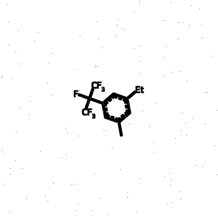 CCc1cc(C)cc(C(F)(C(F)(F)F)C(F)(F)F)c1